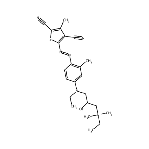 CCN(CC(O)C[N+](C)(C)CC)c1ccc(/N=N/c2sc(C#N)c(C)c2C#N)c(C)c1